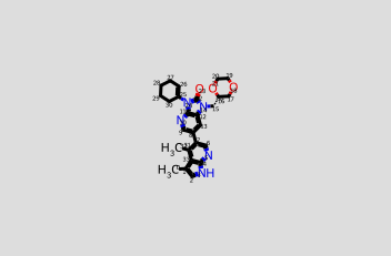 Cc1c[nH]c2ncc(-c3cnc4c(c3)n(C[C@H]3COCCO3)c(=O)n4C3=CCCCC3)c(C)c12